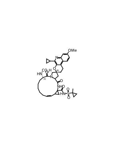 COc1ccc2c3c(c(C4CC4)nc2c1)O[C@]1(CC3)CC2C(=O)NC3(C(=O)NS(=O)(=O)C4(C)CC4)CC3C=CCCCCC[C@H](NC(=O)O)C(=O)N2C1